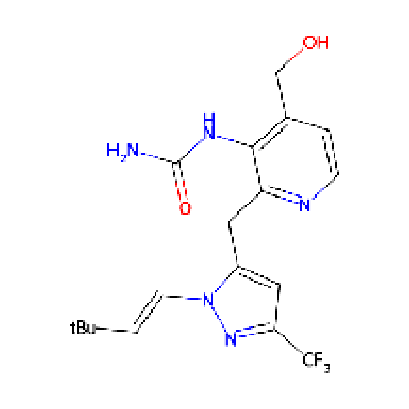 CC(C)(C)/C=C/n1nc(C(F)(F)F)cc1Cc1nccc(CO)c1NC(N)=O